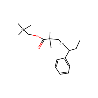 CC[CH]([Co][CH2]C(C)(C)C(=O)OC[Si](C)(C)C)c1ccccc1